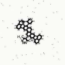 Cc1nnnc(C)c1-c1cc2c3cc4c(c(-c5ccncc5C(C)C)c3ccc2c2cc3c(cc12)-c1cccc2cccc-3c12)-c1cccc2cccc-4c12